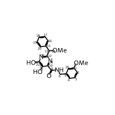 COc1cccc(CNC(=O)c2nc(C(OC)c3ccccc3)nc(O)c2O)c1